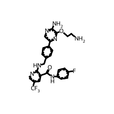 NCCOc1nc(-c2ccc(CNc3ncc(C(F)(F)F)cc3C(=O)Nc3ccc(F)cc3)cc2)cnc1N